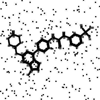 Cn1ncc2c(-c3ccc(NC(=O)Nc4cccc(C(F)(F)F)c4)cc3)cc(CN3CCNCC3)nc21